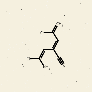 C=C(Cl)/C=C(C#N)\C=C(/N)Cl